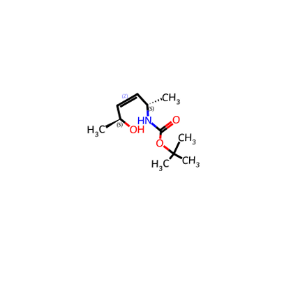 C[C@H](O)/C=C\[C@H](C)NC(=O)OC(C)(C)C